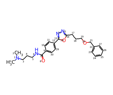 CN(C)CCCNC(=O)c1ccc(-c2nnc(CCCOCc3ccccc3)o2)cc1